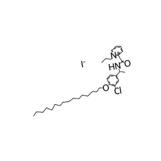 CCCCCCCCCCCCCCCCOc1ccc(C(C)NC(=O)c2cccc[n+]2CCC)cc1Cl.[I-]